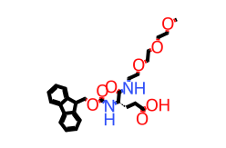 COCCOCCOCCNC(=O)[C@H](CCC(=O)O)NC(=O)OCC1c2ccccc2-c2ccccc21